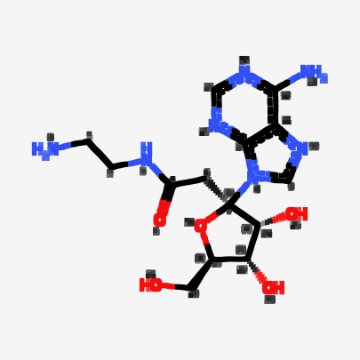 NCCNC(=O)C[C@@]1(n2cnc3c(N)ncnc32)O[C@H](CO)[C@@H](O)[C@H]1O